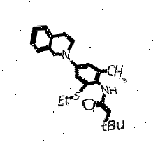 CCSc1cc(N2CCc3ccccc3C2)cc(C)c1NC(=O)CC(C)(C)C